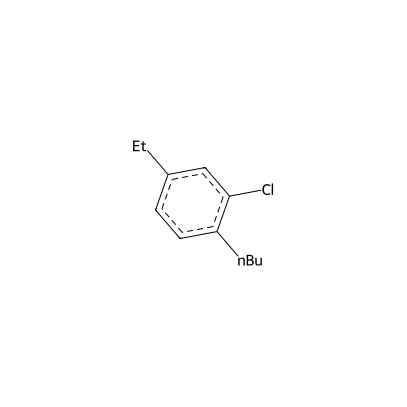 [CH2]CCCc1ccc(CC)cc1Cl